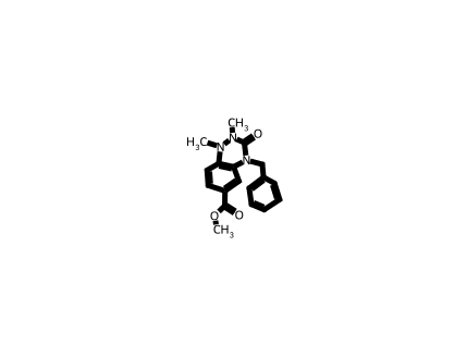 COC(=O)c1ccc2c(c1)N(Cc1ccccc1)C(=O)N(C)N2C